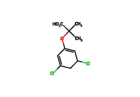 CC(C)(OC1=CC(Cl)CC(Cl)=C1)C(=O)O